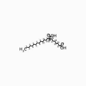 CCCCCCCCCCCCCCC(F)(CCCCCCC(=O)O)C(=O)O